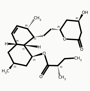 CC[C@H](C)C(=O)O[C@H]1C[C@@H](C)C[C@@H]2C=C[C@H](C)[C@H](CC[C@@H]3C[C@@H](O)CC(=O)O3)[C@H]12